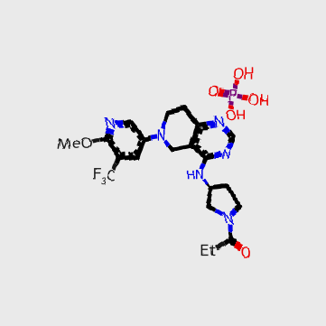 CCC(=O)N1CC[C@H](Nc2ncnc3c2CN(c2cnc(OC)c(C(F)(F)F)c2)CC3)C1.O=P(O)(O)O